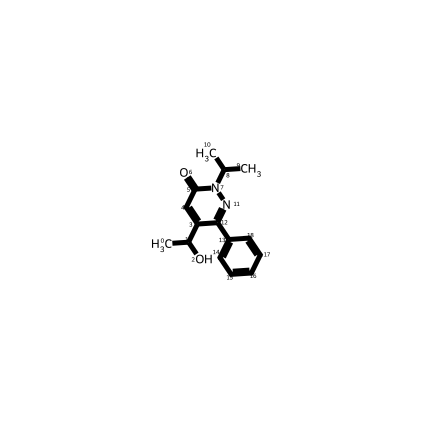 CC(O)c1cc(=O)n(C(C)C)nc1-c1ccccc1